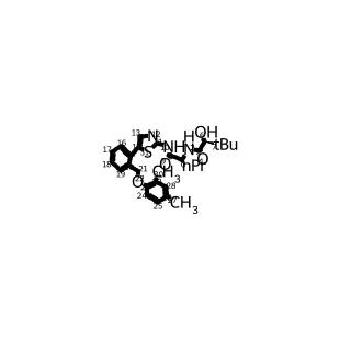 CCC[C@H](NC(=O)[C@@H](O)C(C)(C)C)C(=O)Nc1ncc(-c2ccccc2COc2ccc(C)cc2C)s1